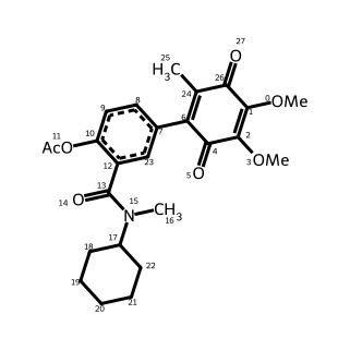 COC1=C(OC)C(=O)C(c2ccc(OC(C)=O)c(C(=O)N(C)C3CCCCC3)c2)=C(C)C1=O